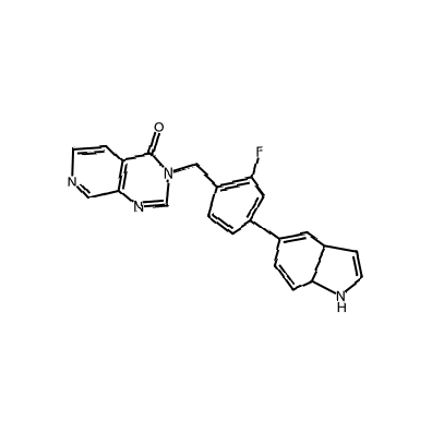 O=c1c2ccncc2ncn1Cc1ccc(C2=CC3C=CNC3C=C2)cc1F